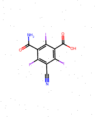 N#Cc1c(I)c(C(N)=O)c(I)c(C(=O)O)c1I